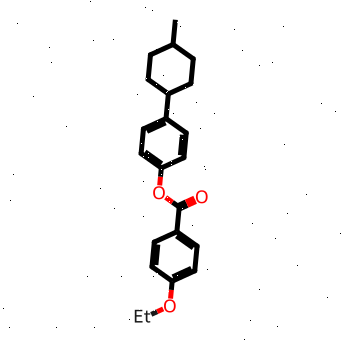 CCOc1ccc(C(=O)Oc2ccc(C3CCC(C)CC3)cc2)cc1